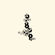 CC(C)(C)OC(=O)N(c1ccc2[nH]ncc2c1)c1ccnc(-c2ccc3c(c2)CN(C(=O)Nc2ccnnc2)C3)n1